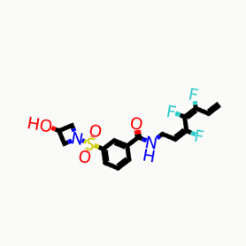 C=C/C(F)=C(F)\C(F)=C/CNC(=O)c1cccc(S(=O)(=O)N2CC(O)C2)c1